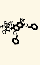 O=C1CN(c2c(OCc3ccccc3)cc3cc(OCc4ccccc4)c(Br)cc3c2F)S(=O)(=O)N1